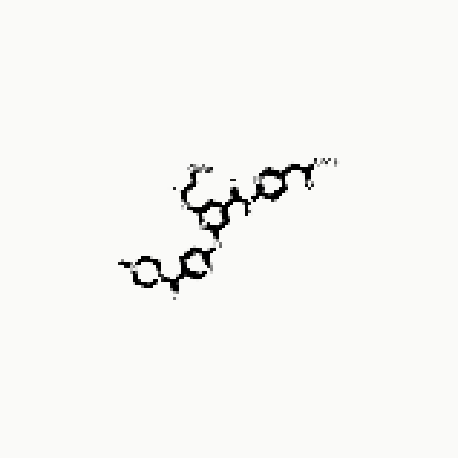 COC[C@@H](C)Oc1cc(C(=O)Nc2ccc(CC(=O)OC)cn2)cc(Oc2ccc(C(=O)N3CCN(C)CC3)cn2)n1